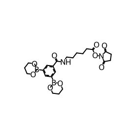 O=C(CCCCCNC(=O)c1cc(B2OCCCO2)cc(B2OCCCO2)c1)ON1C(=O)CCC1=O